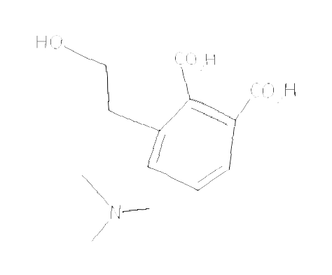 CN(C)C.O=C(O)c1cccc(CCO)c1C(=O)O